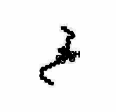 CCCCC/C=C\C/C=C\CCCCCCCC(=O)OC(CCN(CC)CC)CC(CCCCCC/C=C\C/C=C\CCCCC)C(=O)O